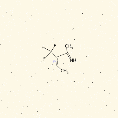 C/C=C(\C(C)=N)C(F)(F)F